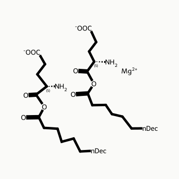 CCCCCCCCCCCCCCCC(=O)OC(=O)[C@@H](N)CCC(=O)[O-].CCCCCCCCCCCCCCCC(=O)OC(=O)[C@@H](N)CCC(=O)[O-].[Mg+2]